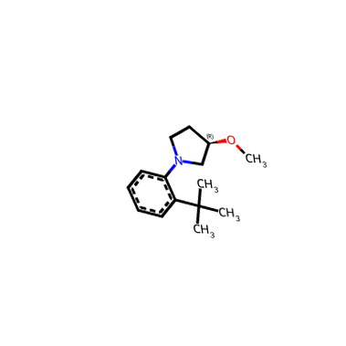 CO[C@@H]1CCN(c2ccccc2C(C)(C)C)C1